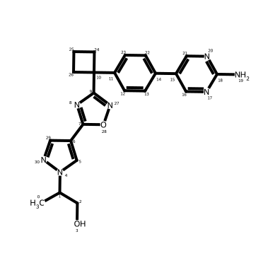 CC(CO)n1cc(-c2nc(C3(c4ccc(-c5cnc(N)nc5)cc4)CCC3)no2)cn1